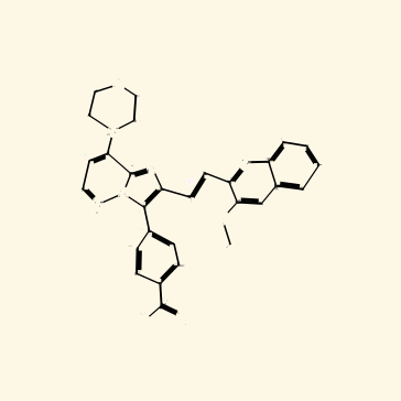 COc1cc2ccccc2nc1/C=C/c1nc2c(N3CCOCC3)ccnn2c1-c1ccc(C(=O)O)cc1